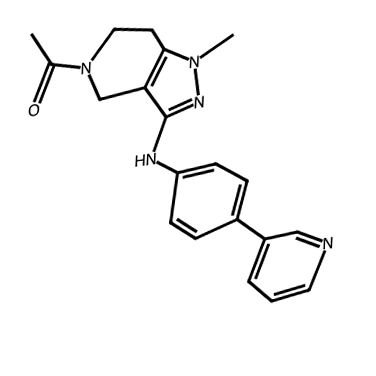 CC(=O)N1CCc2c(c(Nc3ccc(-c4cccnc4)cc3)nn2C)C1